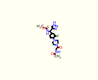 COC(=S)NC(c1ccc(N2CCN(C(=O)CNC(C)=O)CC2)c(F)c1)c1c[nH]nn1